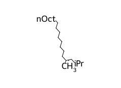 CCCCCCCCCCCCCCCC[C](C)CC(C)C